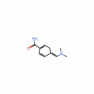 CN(C)/C=C1/C=CC(C(N)=O)=CC1